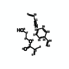 C=C(C)C(=O)OCCO.C=CC#N.C=Cc1ccccc1